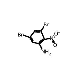 Nc1cc(Br)cc(Br)c1[N+](=O)[O-]